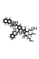 CCCCN(CCCC)C(=O)c1nn(-c2ccc(C(=O)NS(=O)(=O)c3ccc4ccccc4c3)cc2C(=O)N2CCc3ccccc3C2)c(C)c1CCCO